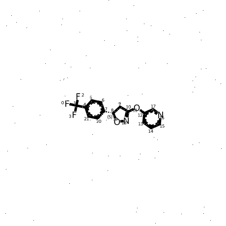 FC(F)(F)c1ccc([C@@H]2CC(Oc3cccnc3)=NO2)cc1